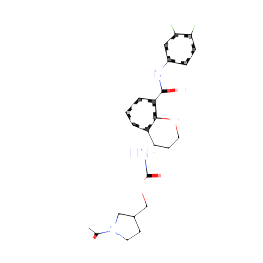 CC(=O)N1CCC(COC(=O)N[C@H]2CCOc3c(C(=O)Nc4ccc(F)c(F)c4)cccc32)C1